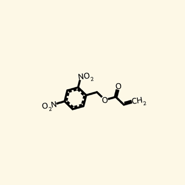 C=CC(=O)OCc1ccc([N+](=O)[O-])cc1[N+](=O)[O-]